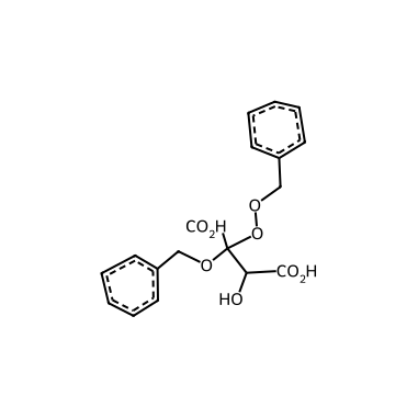 O=C(O)C(O)C(OCc1ccccc1)(OOCc1ccccc1)C(=O)O